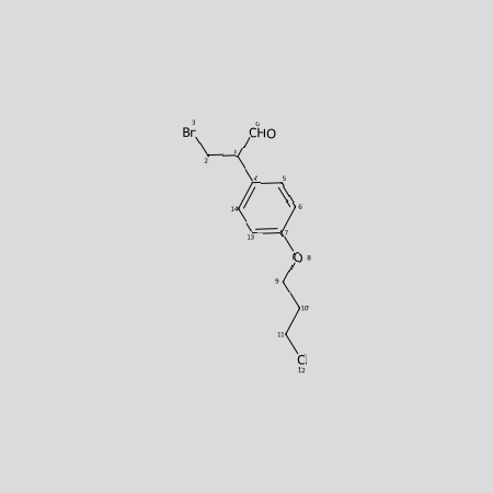 O=CC(CBr)c1ccc(OCCCCl)cc1